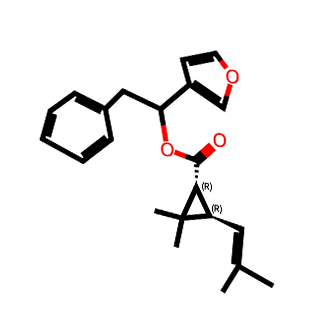 CC(C)=C[C@@H]1[C@@H](C(=O)OC(Cc2ccccc2)c2ccoc2)C1(C)C